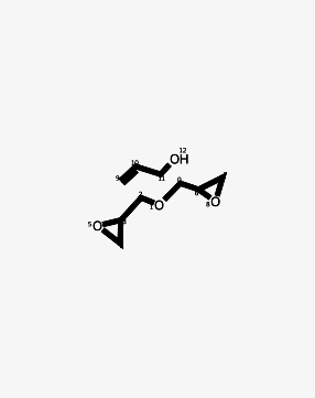 C(OCC1CO1)C1CO1.C=CCO